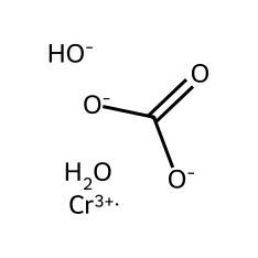 O.O=C([O-])[O-].[Cr+3].[OH-]